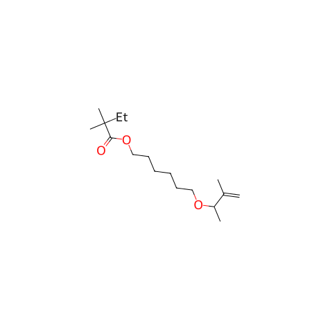 C=C(C)C(C)OCCCCCCOC(=O)C(C)(C)CC